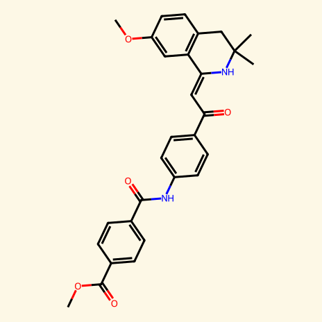 COC(=O)c1ccc(C(=O)Nc2ccc(C(=O)/C=C3\NC(C)(C)Cc4ccc(OC)cc43)cc2)cc1